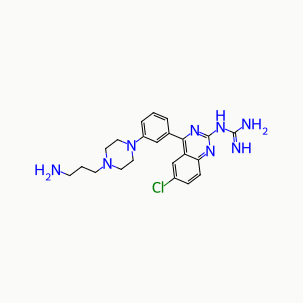 N=C(N)Nc1nc(-c2cccc(N3CCN(CCCN)CC3)c2)c2cc(Cl)ccc2n1